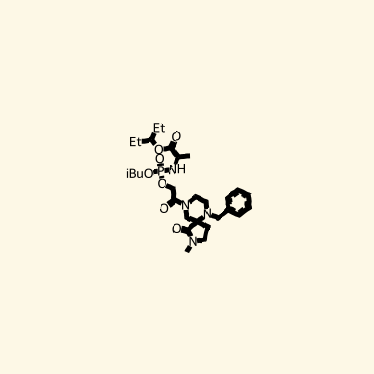 CCC(CC)OC(=O)C(C)NP(=O)(OCC(=O)N1CCN(Cc2ccccc2)C2(CCN(C)C2=O)C1)OCC(C)C